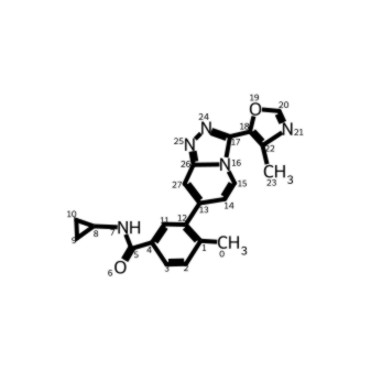 Cc1ccc(C(=O)NC2CC2)cc1-c1ccn2c(-c3ocnc3C)nnc2c1